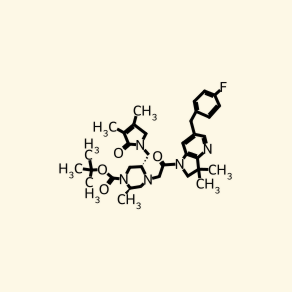 CC1=C(C)C(=O)N(C[C@H]2CN(C(=O)OC(C)(C)C)[C@H](C)CN2CC(=O)N2CC(C)(C)c3ncc(Cc4ccc(F)cc4)cc32)C1